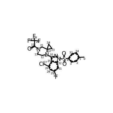 Cc1ccc(S(=O)(=O)n2nc(N3CCN(C(=O)C(F)(F)F)CC34CC4)c3c(Cl)cc(F)cc32)cc1